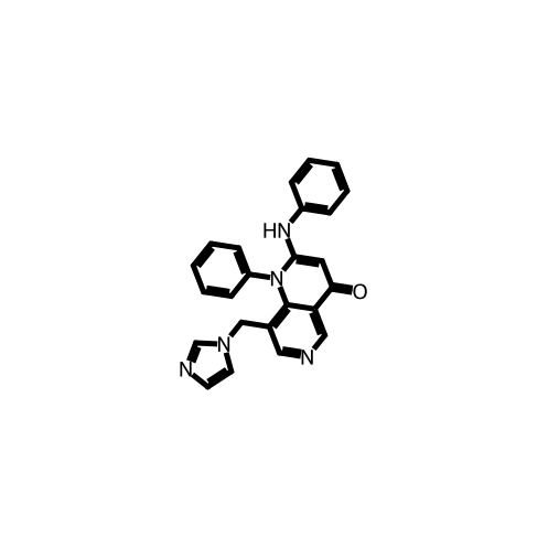 O=c1cc(Nc2ccccc2)n(-c2ccccc2)c2c(Cn3ccnc3)cncc12